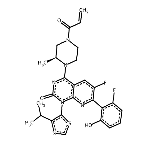 C=CC(=O)N1CCN(c2nc(=O)n(-c3scnc3C(C)C)c3nc(-c4c(O)cccc4F)c(F)cc23)[C@@H](C)C1